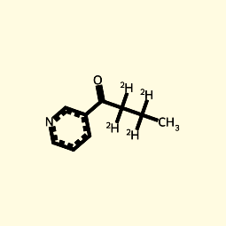 [2H]C([2H])(C)C([2H])([2H])C(=O)c1cccnc1